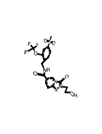 CS(=O)(=O)c1ccc(CNC(=O)c2ccc3nn(CCO)c(=O)n3c2)c(OC(F)(F)F)c1